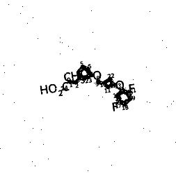 CC(Cc1cccc(OCC2CC(Oc3cc(F)ccc3F)C2)c1)C(=O)O